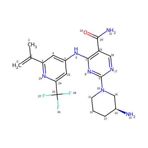 C=C(C)c1cc(Nc2nc(N3CCC[C@H](N)C3)ncc2C(N)=O)cc(C(F)(F)F)n1